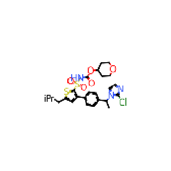 CC(C)Cc1cc(-c2ccc(C(C)n3ccnc3Cl)cc2)c(S(=O)(=O)NC(=O)OC2CCOCC2)s1